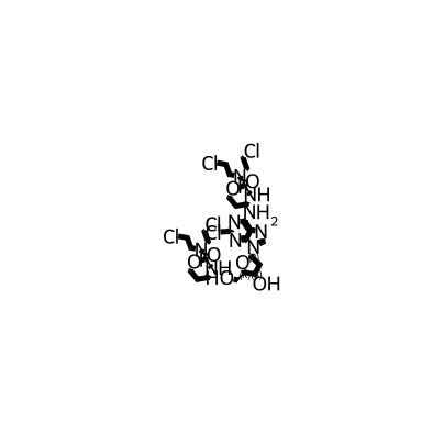 Nc1nc(Cl)nc2c1ncn2[C@H]1C[C@H](O)[C@@H](CO)O1.O=P1(N(CCCl)CCCl)NCCCO1.O=P1(N(CCCl)CCCl)NCCCO1